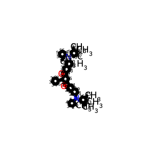 Cc1ccccc1N(c1cc(C)c(C)c(C)c1)c1ccc2cc3c(cc2c1)oc1c(-c2ccccc2)c2oc4cc5cc(N(c6cc(C)c(C)c(C)c6)c6ccccc6C)ccc5cc4c2cc13